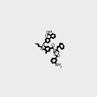 CCCc1nc2c(C)cc(C(=O)N(SC(=O)c3cccc(N)c3)C(C)Cc3ccccc3)cc2n1Cc1ccc(-c2ccccc2C(=O)O)cc1